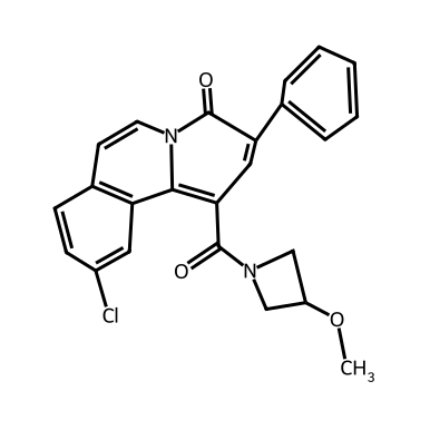 COC1CN(C(=O)c2cc(-c3ccccc3)c(=O)n3ccc4ccc(Cl)cc4c23)C1